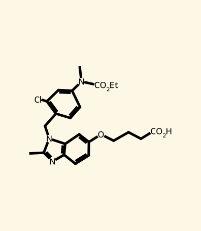 CCOC(=O)N(C)c1ccc(Cn2c(C)nc3ccc(OCCCC(=O)O)cc32)c(Cl)c1